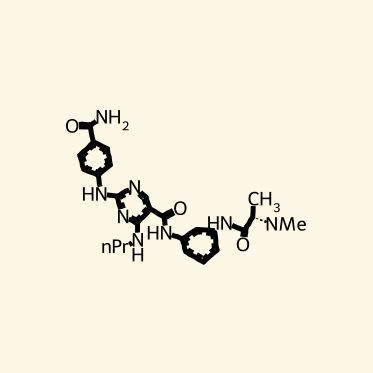 CCCNc1nc(Nc2ccc(C(N)=O)cc2)ncc1C(=O)Nc1cccc(NC(=O)[C@H](C)NC)c1